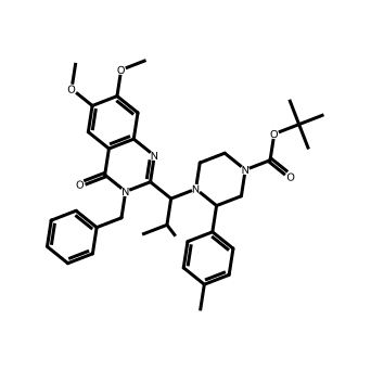 COc1cc2nc(C(C(C)C)N3CCN(C(=O)OC(C)(C)C)CC3c3ccc(C)cc3)n(Cc3ccccc3)c(=O)c2cc1OC